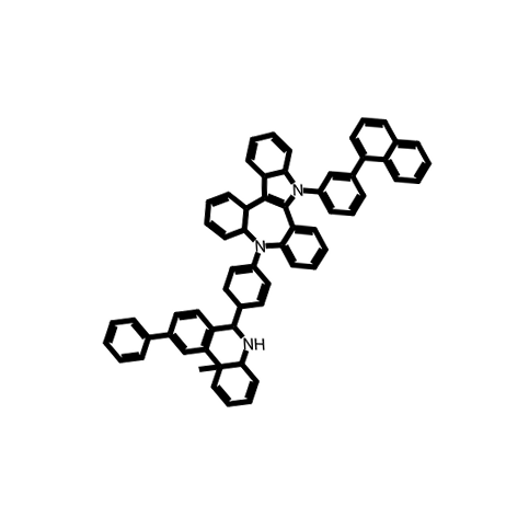 CC12C=CC=CC1NC(C1C=CC(N3c4ccccc4C4=C(C5C=CC=CC5N4c4cccc(-c5cccc6ccccc56)c4)C4C=CC=CC43)=CC1)c1ccc(-c3ccccc3)cc12